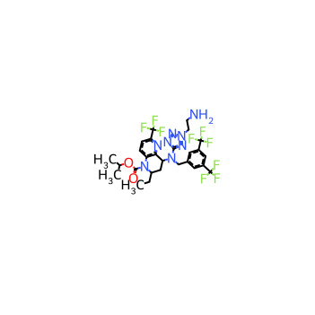 CCC1CC(N(Cc2cc(C(F)(F)F)cc(C(F)(F)F)c2)c2nnn(CCN)n2)c2nc(C(F)(F)F)ccc2N1C(=O)OC(C)C